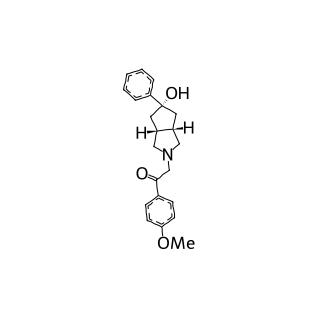 COc1ccc(C(=O)CN2C[C@@H]3C[C@@](O)(c4ccccc4)C[C@@H]3C2)cc1